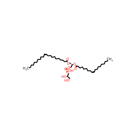 CCCCCCCCC/C=C\CCCCCCCC(=O)O[C@H](COC(=O)CCCCCCCCC/C=C\CCCCCCCCCC)COP(=O)(O)OC[C@@H](O)CO